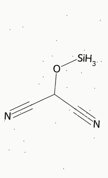 N#CC(C#N)O[SiH3]